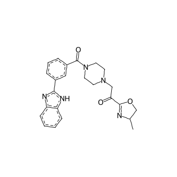 CC1COC(C(=O)CN2CCN(C(=O)c3cccc(-c4nc5ccccc5[nH]4)c3)CC2)=N1